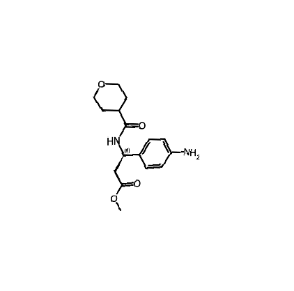 COC(=O)C[C@@H](NC(=O)C1CCOCC1)c1ccc(N)cc1